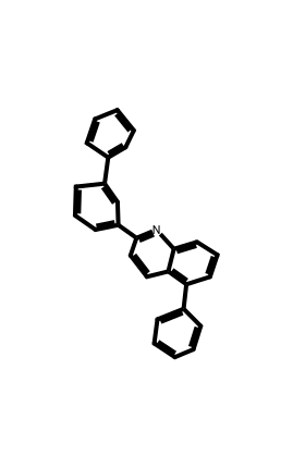 c1ccc(-c2cccc(-c3ccc4c(-c5ccccc5)cccc4n3)c2)cc1